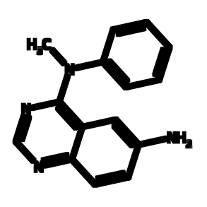 CN(c1ccccc1)c1ncnc2ccc(N)cc12